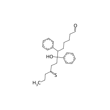 CCCC(=S)CCC(O)(c1ccccc1)C(CCCCC=O)c1ccccc1